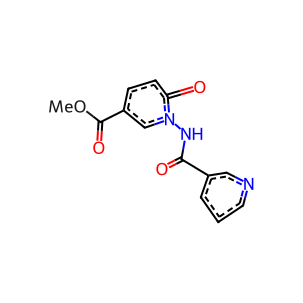 COC(=O)c1ccc(=O)n(NC(=O)c2cccnc2)c1